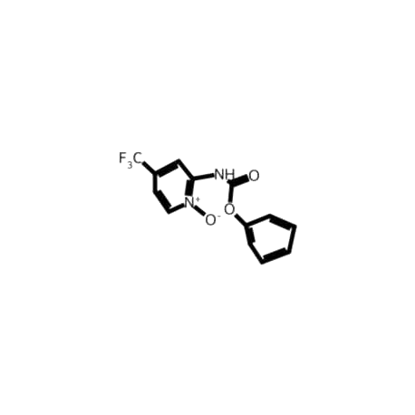 O=C(Nc1cc(C(F)(F)F)cc[n+]1[O-])Oc1ccccc1